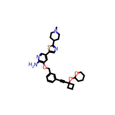 CN1CCC(c2ncc(-c3cnc(N)c(OCc4cccc(C#CC5(OC6CCCCO6)CCC5)c4)c3)s2)CC1